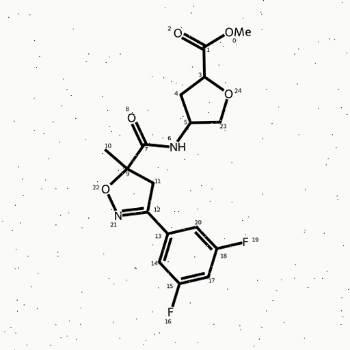 COC(=O)C1CC(NC(=O)C2(C)CC(c3cc(F)cc(F)c3)=NO2)CO1